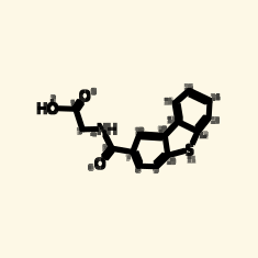 O=C(O)CNC(=O)c1ccc2sc3ccccc3c2c1